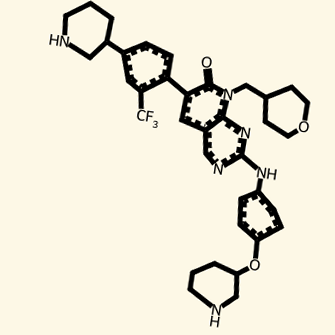 O=c1c(-c2ccc(C3CCCNC3)cc2C(F)(F)F)cc2cnc(Nc3ccc(OC4CCCNC4)cc3)nc2n1CC1CCOCC1